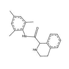 Cc1cc(C)c(NC(=O)C2NCCc3ccccc32)c(C)c1